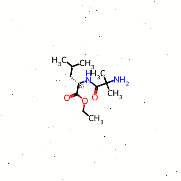 CCOC(=O)[C@H](CC(C)C)NC(=O)C(C)(C)N